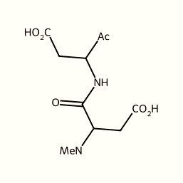 CNC(CC(=O)O)C(=O)NC(CC(=O)O)C(C)=O